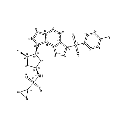 Cc1ccc(S(=O)(=O)n2ccc3c2ncc2nnn([C@H]4C[C@@H](NS(=O)(=O)C5CC5)C[C@H]4I)c23)cc1